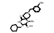 CCCCc1cccc(CN2CCC3(CC2)C(=O)N[C@@H](CC2CCCCC2)C(=O)N3CCCC)c1.Cl